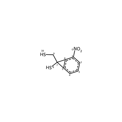 O=[N+]([O-])c1cccc2c1C2(S)CS